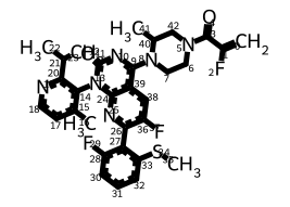 C=C(F)C(=O)N1CCN(c2nc(=O)n(-c3c(C)ccnc3C(C)C)c3nc(-c4c(F)cccc4SC)c(F)cc23)C(C)C1